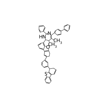 CC1=C(c2ccc(-c3ccccc3)cc2)N=C(c2ccccc2)NC(c2cccc3c4c(oc23)CCC(c2cccc(C3CC=Cc5c3sc3ccccc53)c2)=C4)C1C